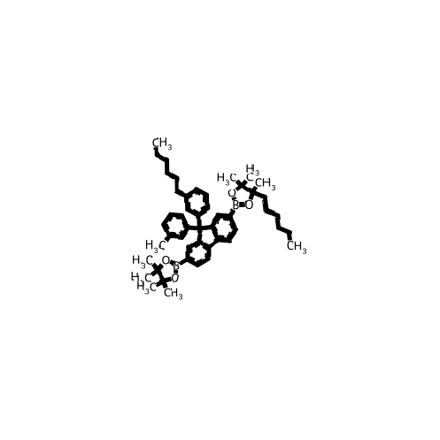 CCCCCCc1cccc(C2(c3cccc(C)c3)c3cc(B4OC(C)(C)C(C)(C)O4)ccc3-c3ccc(B4OC(C)(C)C(C)(CCCCCC)O4)cc32)c1